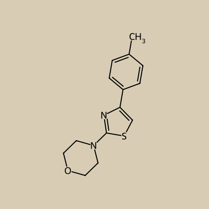 Cc1ccc(-c2csc(N3CCOCC3)n2)cc1